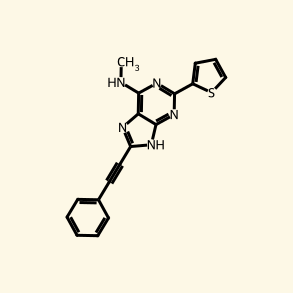 CNc1nc(-c2cccs2)nc2[nH]c(C#Cc3ccccc3)nc12